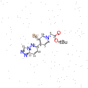 CC(C)(C)OC(=O)C[n+]1ccc(-c2ccc3nncn3n2)cc1.[Br-]